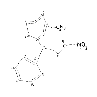 Cc1ncsc1C(CO[N+](=O)[O-])c1ccccc1